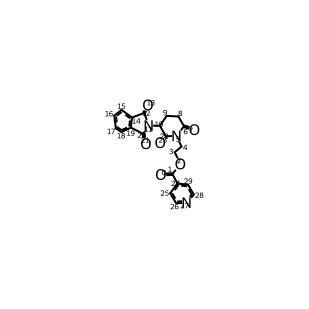 O=C(OCCN1C(=O)CCC(N2C(=O)c3ccccc3C2=O)C1=O)c1ccncc1